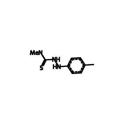 CNC(=S)NNc1ccc(C)cc1